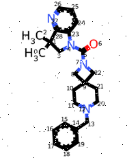 CC1(C)CN(C(=O)N2CC3(CCN(Cc4ccccc4)CC3)C2)c2cccnc21